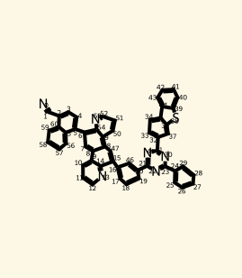 N#Cc1ccc(-c2cc3c4cccnc4c(-c4cccc(-c5nc(-c6ccccc6)nc(-c6ccc7c(c6)sc6ccccc67)n5)c4)cc3c3cccnc23)c2ccccc12